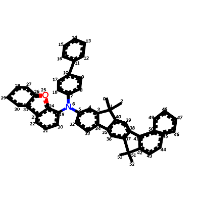 CC1(C)c2cc(N(c3ccc(-c4ccccc4)cc3)c3cccc4c3oc3ccccc34)ccc2-c2cc3c(cc21)-c1c(ccc2ccccc12)C3(C)C